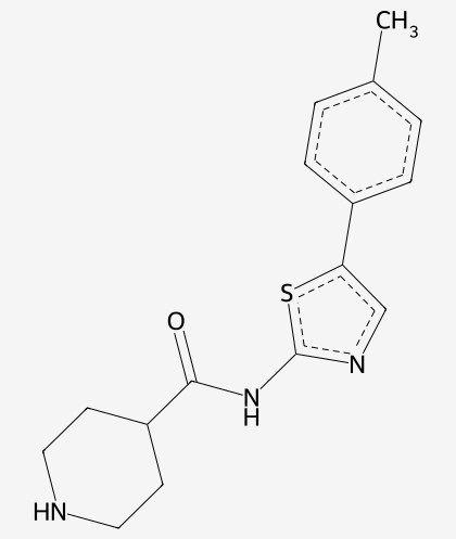 Cc1ccc(-c2cnc(NC(=O)C3CCNCC3)s2)cc1